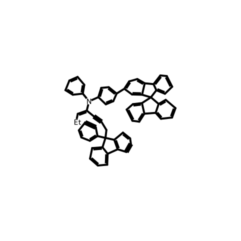 CC/C=C(\C#CCC1(c2c#cccc2)c2ccc#cc2-c2ccccc21)N(c1ccccc1)c1ccc(-c2ccc3c(c2)C2(c4ccccc4-c4ccccc42)c2ccccc2-3)cc1